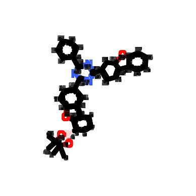 CC1(C)OB(c2cccc3c2oc2ccc(-c4nc(C5=CC=C6c7ccccc7OC6C5)nc(-c5ccccc5)n4)cc23)OC1(C)C